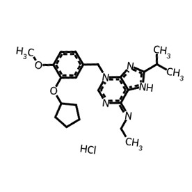 CCN=c1ncn(Cc2ccc(OC)c(OC3CCCC3)c2)c2nc(C(C)C)[nH]c12.Cl